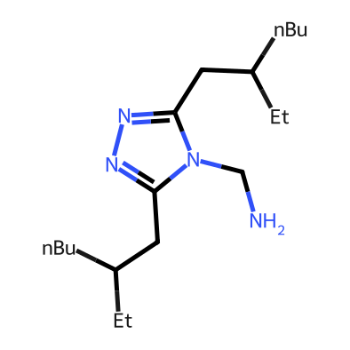 CCCCC(CC)Cc1nnc(CC(CC)CCCC)n1CN